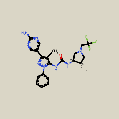 Cc1c(-c2cnc(N)nc2)nn(-c2ccccc2)c1NC(=O)N[C@H]1CN(CC(F)(F)F)C[C@@H]1C